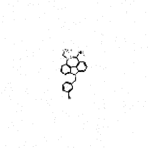 NC(=O)c1cccc2c1c1c(OCC(=O)O)cccc1n2Cc1cccc(Br)c1